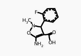 CN1OC(N)=C(C(=O)O)C1c1ccccc1F